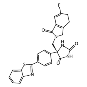 O=C1NC(=O)[C@](CN2CC3=C(C=C(F)CC3)C2=O)(c2ccc(-c3nc4ccccc4s3)cc2)N1